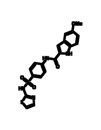 COc1ccc2[nH]c(C(=O)Nc3ccc(S(=O)(=O)Nc4nccs4)cc3)cc2c1